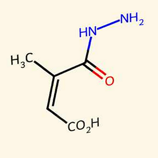 CC(=CC(=O)O)C(=O)NN